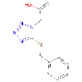 C=C(O)Cn1nnnc1SCc1ccccc1